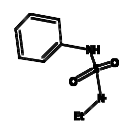 CC[N]S(=O)(=O)Nc1ccccc1